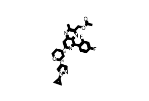 CC(=O)OCc1nc2c(-c3ccc(F)cc3F)nc([C@H]3CCO[C@@H](c4cnn(C5CC5)c4)C3)cc2nc1C